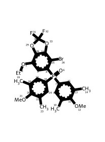 CCOc1cc(P(=O)(c2cc(C)c(OC)c(C)c2)c2cc(C)c(OC)c(C)c2)c(Br)c2c1OC(F)(F)O2